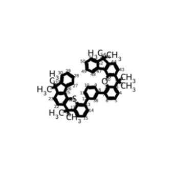 CC1(C)c2cccc(-c3cccc(-c4cccc5c4Sc4c(ccc6c4-c4ccccc4C6(C)C)C5(C)C)c3)c2Oc2c1ccc1c2-c2ccccc2C1(C)C